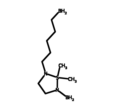 BCCCCCN1CCN(B)S1(C)C